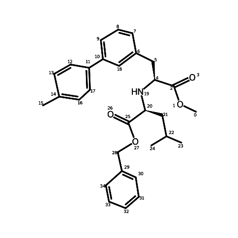 COC(=O)[C@H](Cc1cccc(-c2ccc(C)cc2)c1)N[C@@H](CC(C)C)C(=O)OCc1ccccc1